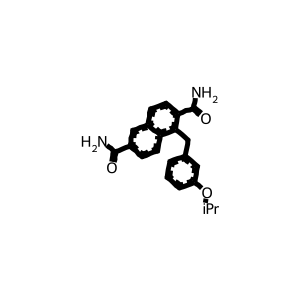 CC(C)Oc1cccc(Cc2c(C(N)=O)ccc3cc(C(N)=O)ccc23)c1